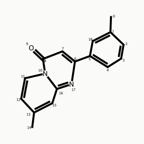 Cc1cccc(-c2cc(=O)n3ccc(C)cc3n2)c1